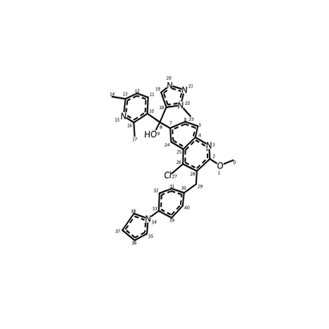 COc1nc2ccc(C(O)(c3ccc(C)nc3C)c3cnnn3C)cc2c(Cl)c1Cc1ccc(-n2cccc2)cc1